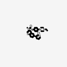 CCN1CCN(c2ccc(-n3c(=O)n(C)c4cnc5ccc(-c6cccnc6)cc5c43)cc2Cl)CC1